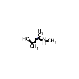 C#CC(C)C/C=C(/C)CNCC